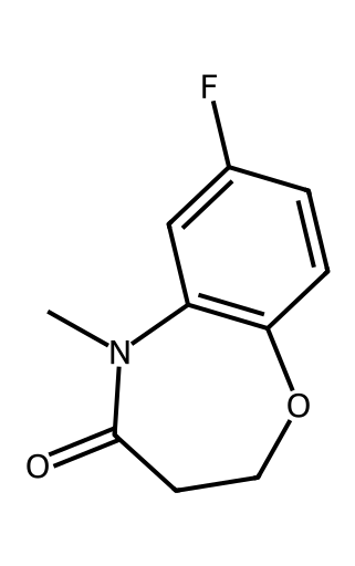 CN1C(=O)CCOc2ccc(F)cc21